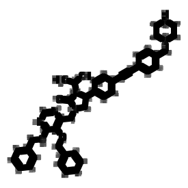 CC(C)N1C(=O)N(Cc2ncnc(OCc3ccccc3)c2OCc2ccccc2)CC1c1ccc(C#Cc2ccc(C[SH]3CCNCC3)cc2)cc1